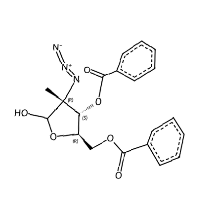 C[C@]1(N=[N+]=[N-])C(O)O[C@H](COC(=O)c2ccccc2)[C@H]1OC(=O)c1ccccc1